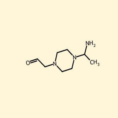 CC(N)N1CCN(CC=O)CC1